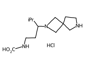 CC(C)C(CCNC(=O)O)N1CC2(CCNC2)C1.Cl